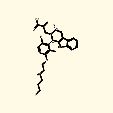 Cc1c(OCCNCCCF)ncc(F)c1[C@@H]1c2[nH]c3ccccc3c2C[C@@H](C)N1CC(C)C(=O)O